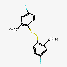 O=C(O)c1cc(F)ccc1SSc1ccc(F)cc1C(=O)O